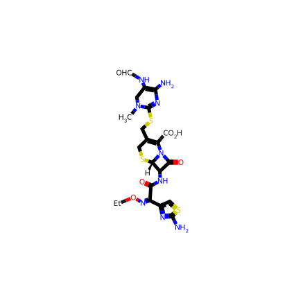 CCO/N=C(\C(=O)NC1C(=O)N2C(C(=O)O)=C(CSC3=NC(N)=C(NC=O)CN3C)CS[C@@H]12)c1csc(N)n1